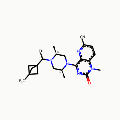 CCC(N1C[C@H](C)N(c2nc(=O)n(C)c3ccc(C#N)nc23)C[C@@H]1C)C12CC(C(F)(F)F)(C1)C2